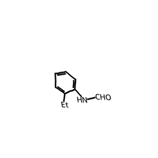 CCc1ccccc1NC=O